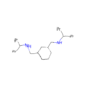 CC(C)C(NCC1CCCC(CNC(C(C)C)C(C)C)C1)C(C)C